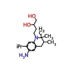 CC(C)c1cc2c(cc1N)CC(C)C(C)(C)N2CCC(O)CO